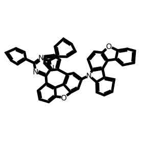 c1ccc(-c2nc(-c3ccccc3)nc(-c3cccc4oc5cc(-n6c7ccccc7c7c8c(ccc76)oc6ccccc68)cc(-c6ccccc6)c5c34)n2)cc1